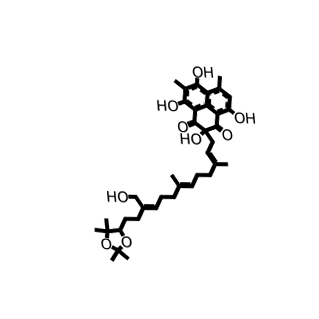 C/C(=C\CC/C(C)=C/CC1(O)C(=O)c2c(O)cc(C)c3c(O)c(C)c(O)c(c23)C1=O)CC/C=C(\CO)CCC1OC(C)(C)OC1(C)C